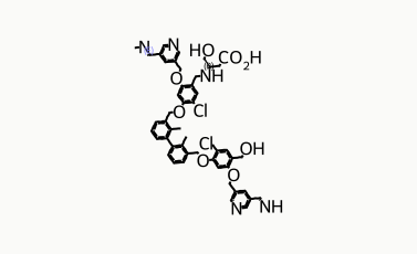 C/N=C/c1cncc(COc2cc(OCc3cccc(-c4cccc(COc5cc(OCc6cncc(C=N)c6)c(CO)cc5Cl)c4C)c3C)c(Cl)cc2CN[C@@H](CO)CC(=O)O)c1